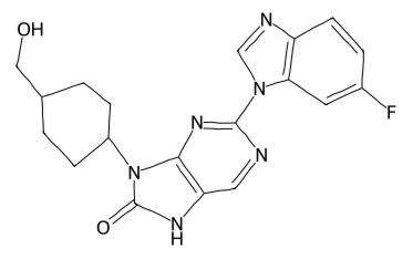 O=c1[nH]c2cnc(-n3cnc4ccc(F)cc43)nc2n1C1CCC(CO)CC1